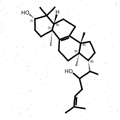 CC(C)=CCC(O)C(C)[C@H]1CC[C@@]2(C)C3=C(CC[C@]12C)[C@@]1(C)CC[C@H](O)C(C)(C)[C@@H]1CC3